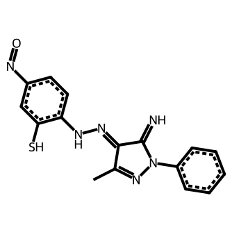 CC1=NN(c2ccccc2)C(=N)/C1=N/Nc1ccc(N=O)cc1S